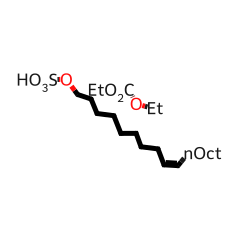 CCCCCCCC/C=C\CCCCCCCCOS(=O)(=O)O.CCOC(=O)OCC